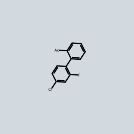 CC(=O)c1ccccc1-c1ccc(Cl)cc1F